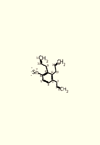 C=CCc1cc[c]([Sn])c(CC=C)c1CC=C